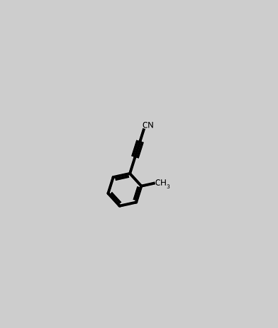 Cc1ccccc1C#CC#N